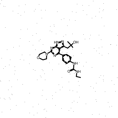 CCNC(=O)Nc1ccc(-c2nc(N3CCOCC3)nc3[nH]nc(CC(C)(C)O)c23)cc1